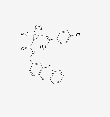 CC(=CC1C(C(=O)OCc2ccc(F)c(Oc3ccccc3)c2)C1(C)C)c1ccc(Cl)cc1